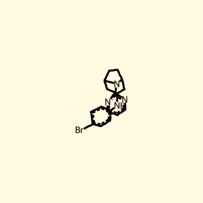 Brc1ccc(NC2CC3CCC(C2)N3c2ncccn2)cc1